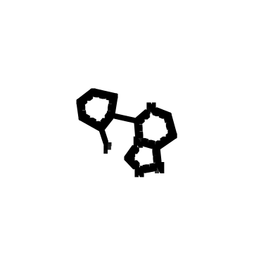 Fc1ccccc1-c1nccc2nncn12